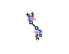 CC(C)[C@H](C)C(=O)N1CC2(CC2)C[C@H]1c1nc2ccc(C#Cc3ccc(-c4cnc([C@@H]5CCCN5C(=O)[C@H](C)c5ccsc5)[nH]4)cc3)cc2[nH]1